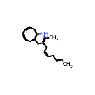 CC=CC/C=C\CC1=C(C)NC2C/C=C\C=C/CC2C1